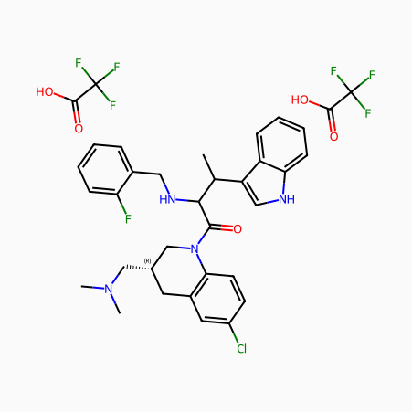 CC(c1c[nH]c2ccccc12)C(NCc1ccccc1F)C(=O)N1C[C@@H](CN(C)C)Cc2cc(Cl)ccc21.O=C(O)C(F)(F)F.O=C(O)C(F)(F)F